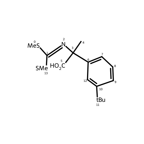 CSC(=NC(C)(C(=O)O)c1cccc(C(C)(C)C)c1)SC